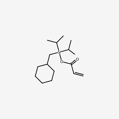 C=CC(=O)O[Si](CC1CCCCC1)(C(C)C)C(C)C